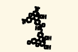 CN(C)c1ccc2c(c1)OC1CC(=[N+](C)C)CCC1=C2c1ccc(C(=O)NCc2ccc(-c3c4ccc(=O)cc-4oc4cc(O)ccc34)c(C(=O)O)c2)cc1C(=O)O